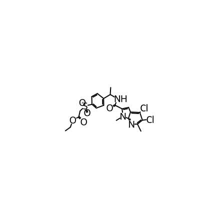 CCOC(=O)CS(=O)(=O)c1ccc(C(C)NC(=O)c2cc3c(Cl)c(Cl)c(C)nc3n2C)cc1